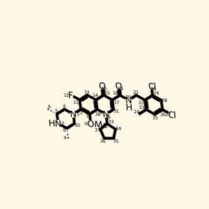 COc1c(N2C[C@@H](C)N[C@@H](C)C2)c(F)cc2c(=O)c(C(=O)NCc3c(C)cc(Cl)cc3Cl)cn(C3CCCC3)c12